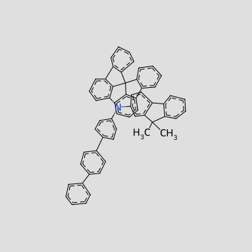 CC1(C)c2ccccc2-c2ccc(N(c3ccc(-c4ccc(-c5ccccc5)cc4)cc3)c3cccc4c3C3(c5ccccc5-c5ccccc53)c3ccccc3-4)cc21